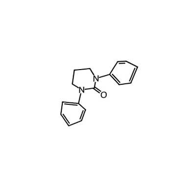 O=C1N(c2ccccc2)CCCN1c1ccccc1